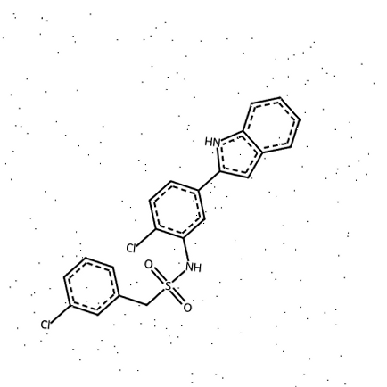 O=S(=O)(Cc1cccc(Cl)c1)Nc1cc(-c2[c]c3ccccc3[nH]2)ccc1Cl